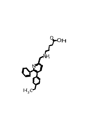 CCc1ccc(-c2ccc(CNCCCCC(=O)O)nc2-c2ccccc2)cc1